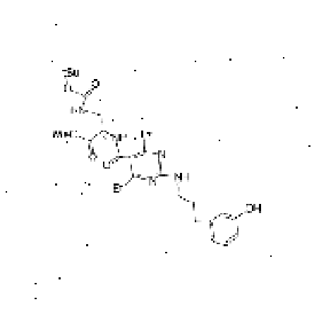 CCc1nc(NCCCc2cccc(O)c2)nc(CC)c1C(=O)N[C@@H](CNC(=O)OC(C)(C)C)C(=O)OC